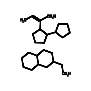 C/C=C(/C(=O)O)C1CCCC1C1CCCC1.O=C(O)CC1CCC2CCCCC2C1